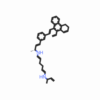 C=Cc1c2c(c3ccccc3c1/C=C/c1cccc(/C=C/[C@@H](C)N/C=C/CC/C=C/NC(C)C=C)c1)CCC=C2